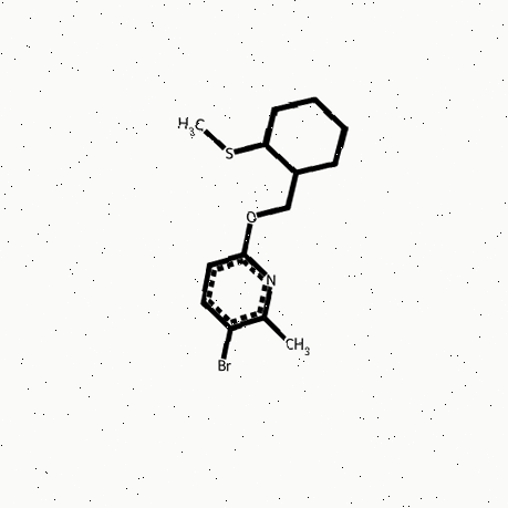 CSC1CCCCC1COc1ccc(Br)c(C)n1